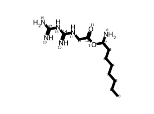 CCCCCCCC(N)OC(=O)CNC(=N)NC(=N)N